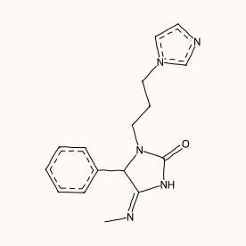 C/N=C1/NC(=O)N(CCCn2ccnc2)C1c1ccccc1